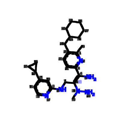 Cc1nc(/C(N)=C(\CNc2cc(C3CC3)ccn2)N(C)N)ccc1CC1CCCCC1